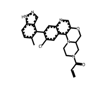 C=CC(=O)N1CCN2c3c(cnc4cc(-c5c(C)ccc6[nH]ncc56)c(Cl)cc34)OCC2C1